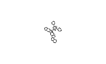 c1ccc(-c2cc(-n3c4cc5ccccc5cc4c4cc5c(cc43)sc3c4ccccc4ccc53)nc(-c3ccccc3)n2)cc1